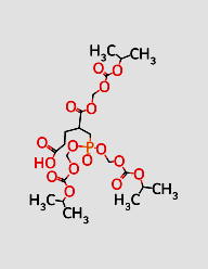 CC(C)OC(=O)OCOC(=O)C(CCC(=O)O)CP(=O)(OCOC(=O)OC(C)C)OCOC(=O)OC(C)C